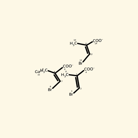 CC(=CBr)C(=O)[O-].CC(=CBr)C(=O)[O-].CC(=CBr)C(=O)[O-].[Ga+3]